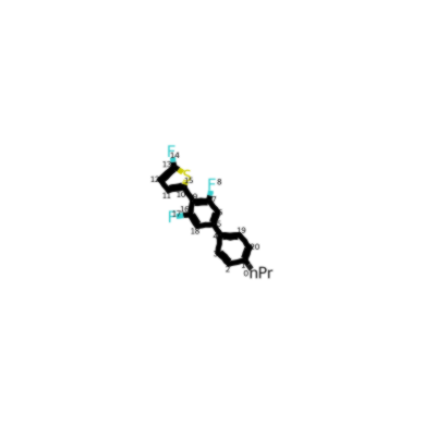 CCCc1ccc(-c2cc(F)c(-c3ccc(F)s3)c(F)c2)cc1